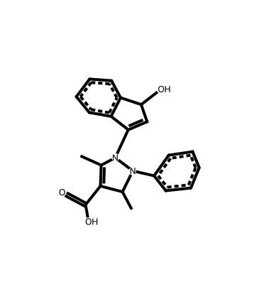 CC1=C(C(=O)O)C(C)N(c2ccccc2)N1C1=CC(O)c2ccccc21